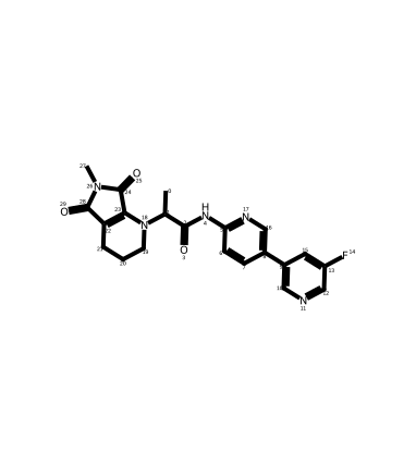 CC(C(=O)Nc1ccc(-c2cncc(F)c2)cn1)N1CCCC2=C1C(=O)N(C)C2=O